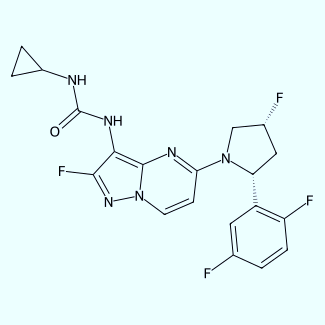 O=C(Nc1c(F)nn2ccc(N3C[C@H](F)C[C@@H]3c3cc(F)ccc3F)nc12)NC1CC1